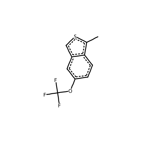 Cc1scc2cc(OC(F)(F)F)ccc12